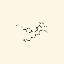 CCCCc1nc2c(C)c(Br)c(C)nc2n1-c1ccc(CCO)cc1